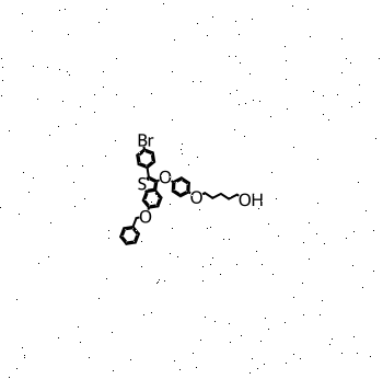 OCCCCCOc1ccc(Oc2c(-c3ccc(Br)cc3)sc3cc(OCc4ccccc4)ccc23)cc1